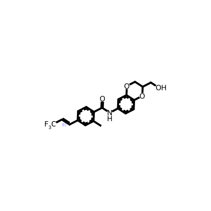 Cc1cc(/C=C/C(F)(F)F)ccc1C(=O)Nc1ccc2c(c1)OCC(CO)O2